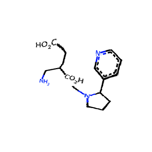 CN1CCCC1c1cccnc1.NCC(CC(=O)O)C(=O)O